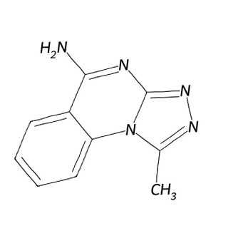 Cc1nnc2nc(N)c3ccccc3n12